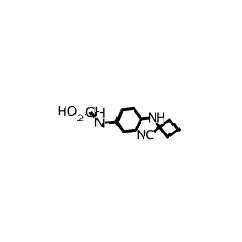 N#CC1(NC2CCC(NC(=O)O)CC2)CCC1